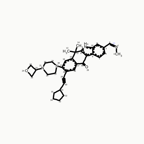 C/N=C\c1ccc2c3c([nH]c2c1)C(C)(C)c1cc(N2CCN(C4COC4)CC2)c(C#CC2CCCC2)cc1C3=O